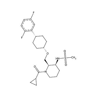 CS(=O)(=O)N[C@H]1CCCN(C(=O)C2CC2)[C@H]1CO[C@H]1CC[C@@H](c2cc(F)ccc2F)CC1